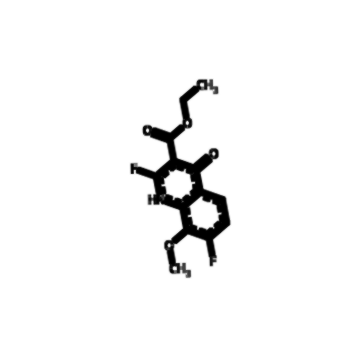 CCOC(=O)c1c(F)[nH]c2c(OC)c(F)ccc2c1=O